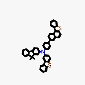 CC1(C)c2ccccc2-c2ccc(N(c3ccc(-c4ccc5c(ccc6sc7ccccc7c65)c4)cc3)c3ccc4sc5ccccc5c4c3)cc21